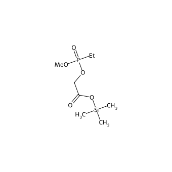 CCP(=O)(OC)OCC(=O)O[Si](C)(C)C